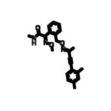 CNC(=O)/C(=N/OC)c1ccccc1CO/N=C(\C)C#Cc1ccc(C)cc1C